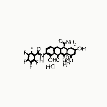 Cl.NC(=O)C1C2Cc3ccc(NC(=O)c4c(F)c(F)c(F)c(F)c4F)c(O)c3C(=O)C2=C(O)C2(O)C(=O)CC(O)CC12